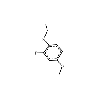 CCSc1ccc(OC)cc1F